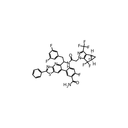 NC(=O)c1cc(-c2cc3sc(-c4ccccc4)nc3nc2C(Cc2cc(F)cc(F)c2)NC(=O)Cn2nc(C(F)(F)F)c3c2C(F)(F)[C@@H]2C[C@H]32)ccc1F